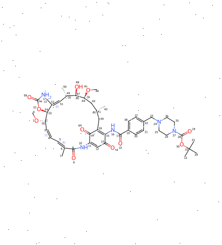 CO[C@H]1/C=C\C=C(/C)C(=O)NC2=CC(=O)C(NC(=O)c3ccc(CN4CCN(C(=O)OC(C)(C)C)CC4)cc3)=C(C[C@@H](C)C[C@H](OC)[C@H](O)[C@@H](C)/C=C(\C)[C@@H]1OC(N)=O)C2=O